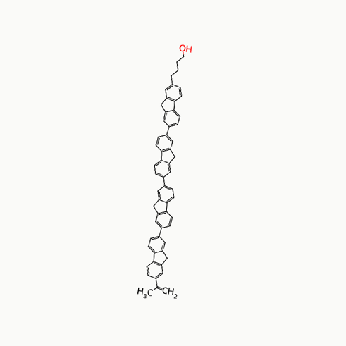 C=C(C)c1ccc2c(c1)Cc1cc(-c3ccc4c(c3)Cc3cc(-c5ccc6c(c5)Cc5cc(-c7ccc8c(c7)Cc7cc(CCCCO)ccc7-8)ccc5-6)ccc3-4)ccc1-2